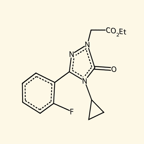 CCOC(=O)Cn1nc(-c2ccccc2F)n(C2CC2)c1=O